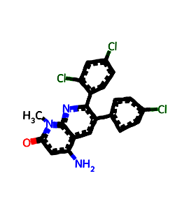 Cn1c(=O)cc(N)c2cc(-c3ccc(Cl)cc3)c(-c3ccc(Cl)cc3Cl)nc21